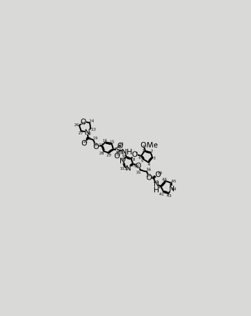 COc1ccccc1Oc1c(NS(=O)(=O)c2ccc(OCC(=O)N3CCOCC3)cc2)ncnc1OCCOC(=O)Nc1ccncc1